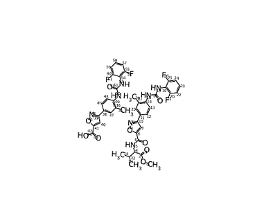 COC(=O)C(NC(=O)c1cc(-c2ccc(NC(=O)Nc3c(F)cccc3F)c(C)c2)no1)C(C)C.Cc1cc(-c2cc(C(=O)O)on2)ccc1NC(=O)Nc1c(F)cccc1F